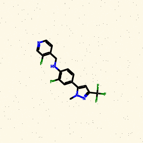 Cn1nc(C(F)(F)F)cc1-c1ccc(NCc2ccncc2F)c(F)c1